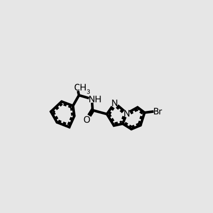 CC(NC(=O)c1cc2ccc(Br)cn2n1)c1ccccc1